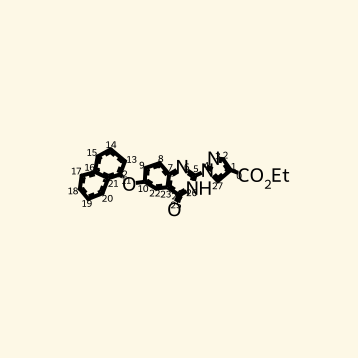 CCOC(=O)c1cnn(-c2nc3ccc(Oc4cccc5ccccc45)cc3c(=O)[nH]2)c1